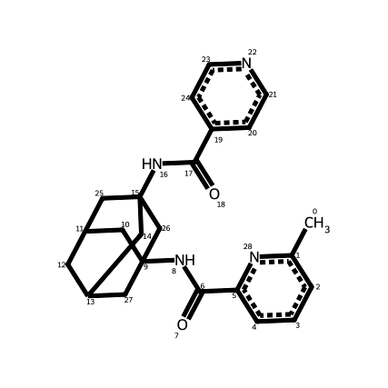 Cc1cccc(C(=O)NC23CC4CC(CC(NC(=O)c5ccncc5)(C4)C2)C3)n1